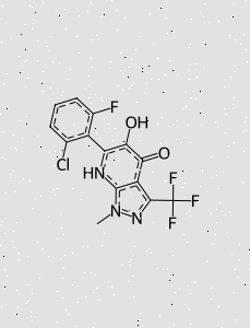 Cn1nc(C(F)(F)F)c2c(=O)c(O)c(-c3c(F)cccc3Cl)[nH]c21